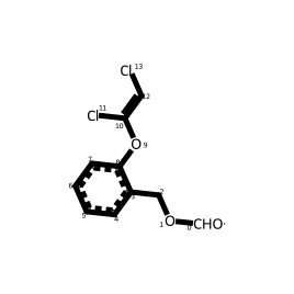 O=[C]OCc1ccccc1O/C(Cl)=C/Cl